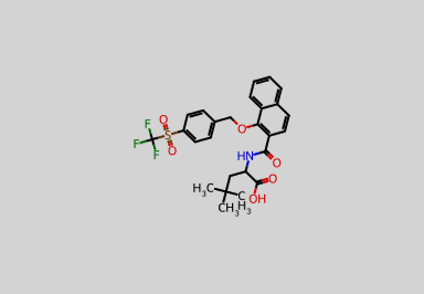 CC(C)(C)CC(NC(=O)c1ccc2ccccc2c1OCc1ccc(S(=O)(=O)C(F)(F)F)cc1)C(=O)O